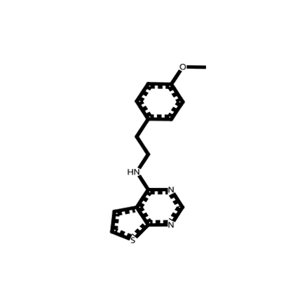 COc1ccc(CCNc2ncnc3sccc23)cc1